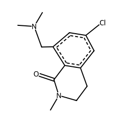 CN(C)Cc1cc(Cl)cc2c1C(=O)N(C)CC2